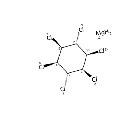 Cl[C@H]1[C@H](Cl)[C@@H](Cl)[C@@H](Cl)[C@H](Cl)[C@H]1Cl.[MgH2]